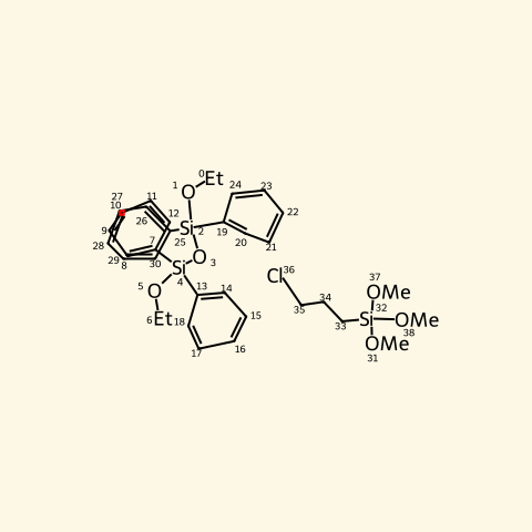 CCO[Si](O[Si](OCC)(c1ccccc1)c1ccccc1)(c1ccccc1)c1ccccc1.CO[Si](CCCCl)(OC)OC